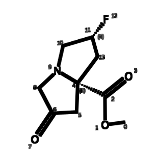 COC(=O)[C@]12CC(=O)CN1C[C@H](F)C2